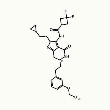 O=C1N[C@@H](CCc2cccc(OCC(F)(F)F)c2)Cc2nn(CCC3CC3)c(NC(=O)C3CC(F)(F)C3)c21